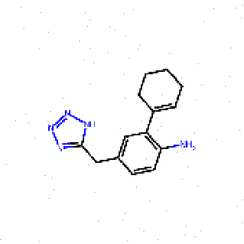 Nc1ccc(Cc2nnn[nH]2)cc1C1=CCCCC1